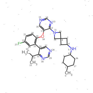 CC1CCC(NC2CC3(C2)CN(c2ncncc2Oc2ccc(F)cc2-c2cncnc2C(C)C)C3)CC1